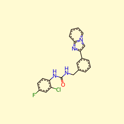 O=C(NCc1cccc(-c2cn3ccccc3n2)c1)Nc1ccc(F)cc1Cl